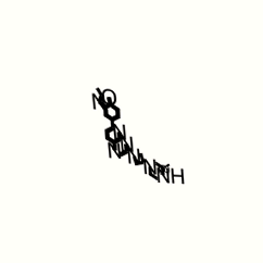 Cc1nc2cc(-c3ccc4ncc(N5CC(N6CCN[C@H](C)C6)C5)nc4n3)ccc2o1